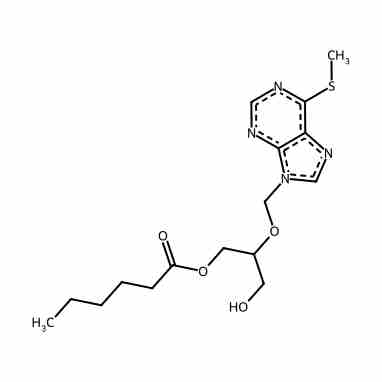 CCCCCC(=O)OCC(CO)OCn1cnc2c(SC)ncnc21